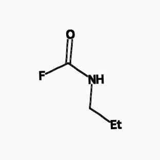 CCCNC(=O)F